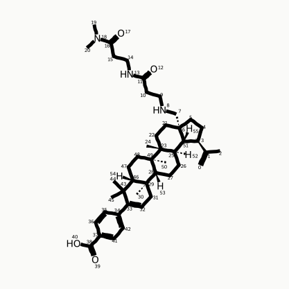 C=C(C)[C@@H]1CC[C@]2(CNCCC(=O)NCCC(=O)N(C)C)CC[C@]3(C)[C@H](CC[C@@H]4[C@@]5(C)CC=C(c6ccc(C(=O)O)cc6)C(C)(C)[C@@H]5CC[C@]43C)[C@@H]12